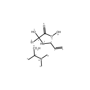 C=CCNC(O)(CC)C(=O)OO.CC(C(=O)O)N(C)C